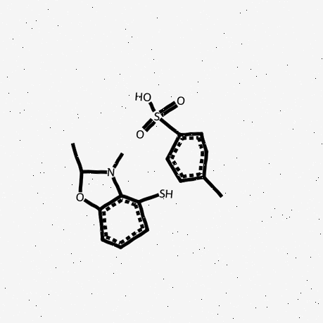 CC1Oc2cccc(S)c2N1C.Cc1ccc(S(=O)(=O)O)cc1